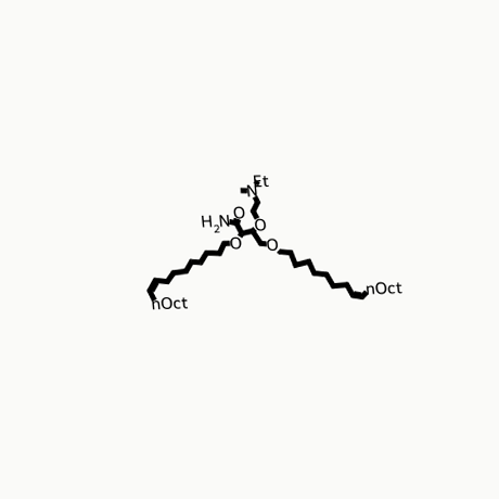 CCCCCCCC/C=C\CCCCCCCCOCC(OCCN(C)CC)C(OCCCCCCCC/C=C\CCCCCCCC)C(N)=O